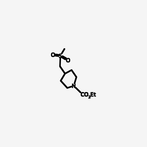 CCOC(=O)N1CCC(CS(C)(=O)=O)CC1